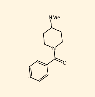 CNC1CCN(C(=O)c2cc[c]cc2)CC1